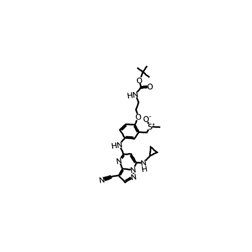 C[S+]([O-])Cc1cc(Nc2cc(NC3CC3)n3ncc(C#N)c3n2)ccc1OCCNC(=O)OC(C)(C)C